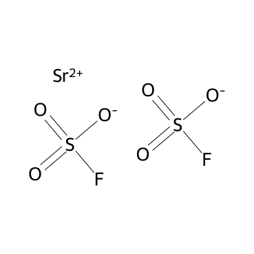 O=S(=O)([O-])F.O=S(=O)([O-])F.[Sr+2]